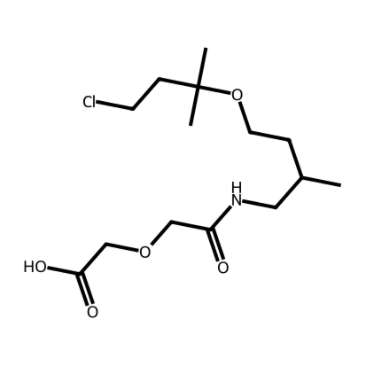 CC(CCOC(C)(C)CCCl)CNC(=O)COCC(=O)O